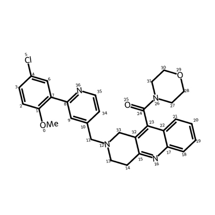 COc1ccc(Cl)cc1-c1cc(CN2CCc3nc4ccccc4c(C(=O)N4CCOCC4)c3C2)ccn1